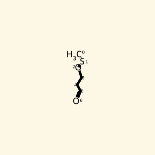 CSOCCC=O